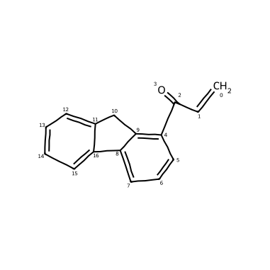 C=CC(=O)c1cccc2c1Cc1ccccc1-2